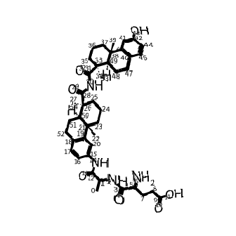 CC(NC(=O)C(N)CCC(=O)O)C(=O)Nc1ccc2c(c1)[C@@]1(C)CCC[C@](C)(C(=O)NC(=O)[C@@]3(C)CCC[C@]4(C)c5cc(O)ccc5CC[C@@H]34)[C@@H]1CC2